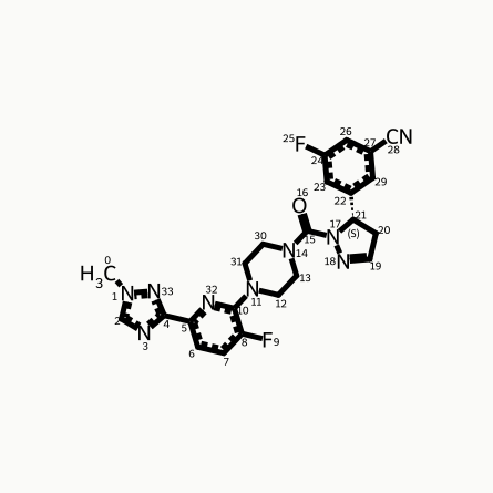 Cn1cnc(-c2ccc(F)c(N3CCN(C(=O)N4N=CC[C@H]4c4cc(F)cc(C#N)c4)CC3)n2)n1